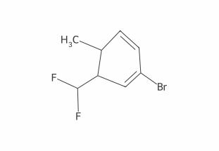 CC1C=CC(Br)=CC1C(F)F